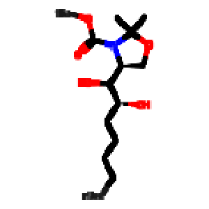 CCCCCCCCCCCCCC[C@@H](O)[C@@H](O)[C@@H]1COC(C)(C)N1C(=O)OC(C)(C)C